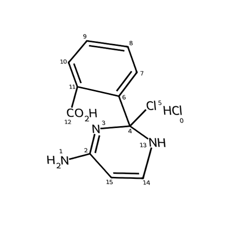 Cl.NC1=NC(Cl)(c2ccccc2C(=O)O)NC=C1